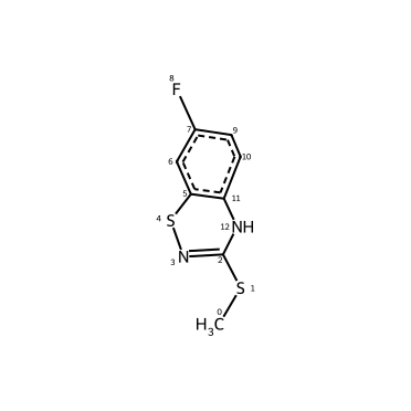 CSC1=NSc2cc(F)ccc2N1